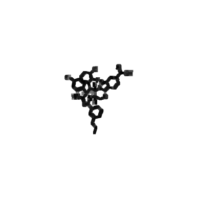 CCCc1cccc(CN2[C@H]3COc4c5ccc(C(=O)O)cc5nn4[C@H]3[C@H](c3cccc(Cl)c3F)[C@]23C(=O)Nc2cc(Cl)ccc23)c1